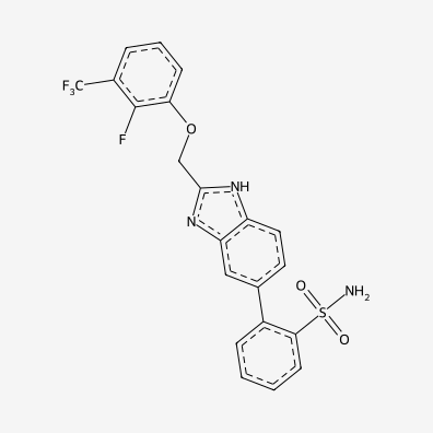 NS(=O)(=O)c1ccccc1-c1ccc2[nH]c(COc3cccc(C(F)(F)F)c3F)nc2c1